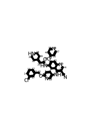 N#CC1=C(Nc2ccc(OCc3cccc(Cl)c3)nc2)C2CC(NC(=O)C=C3CCNCC3)=C(Oc3ccncc3)C=C2N=C1